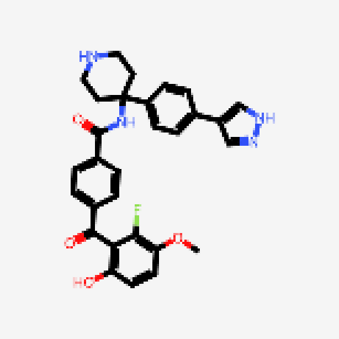 COc1ccc(O)c(C(=O)c2ccc(C(=O)NC3(c4ccc(-c5cn[nH]c5)cc4)CCNCC3)cc2)c1F